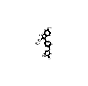 Cl.N#Cc1ccc2c(-c3ccc(CN4CCNC(=O)C4)cn3)c(O)[nH]c2c1